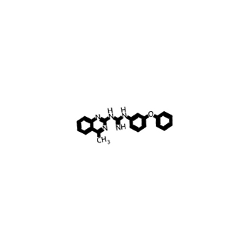 Cc1nc(NC(=N)Nc2cccc(Oc3ccccc3)c2)nc2ccccc12